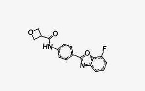 O=C(Nc1ccc(-c2nc3cccc(F)c3o2)cc1)C1COC1